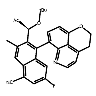 CC(=O)[C@@H](OC(C)(C)C)c1c(C)cc2c(C#N)cc(F)cc2c1-c1ccc2c3c(ccnc13)CCO2